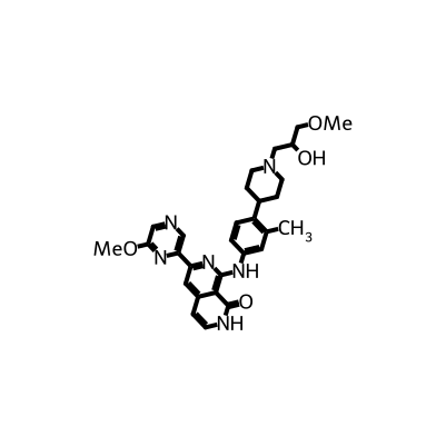 COCC(O)CN1CCC(c2ccc(Nc3nc(-c4cncc(OC)n4)cc4cc[nH]c(=O)c34)cc2C)CC1